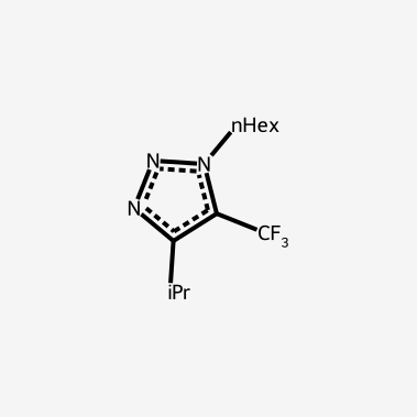 CCCCCCn1nnc(C(C)C)c1C(F)(F)F